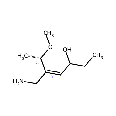 CCC(O)/C=C(/CN)[C@H](C)OC